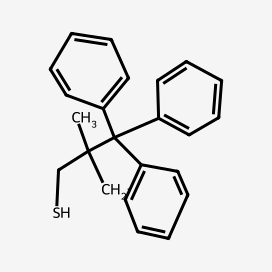 [CH2]C(C)(CS)C(c1ccccc1)(c1ccccc1)c1ccccc1